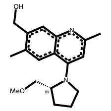 COC[C@H]1CCCN1c1cc(C)nc2cc(CO)c(C)cc12